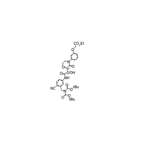 CCOC(=O)COc1cccc(N2CCO[C@H]([C@@H](O)C(=O)Nc3ccc(C#N)c(CN(C(=O)OC(C)(C)C)C(=O)OC(C)(C)C)c3)C2=O)c1